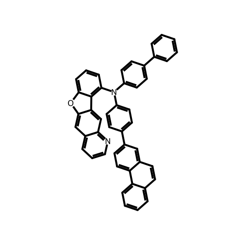 c1ccc(-c2ccc(N(c3ccc(-c4ccc5c(ccc6ccccc65)c4)cc3)c3cccc4oc5cc6cccnc6cc5c34)cc2)cc1